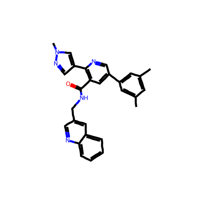 Cc1cc(C)cc(-c2cnc(-c3cnn(C)c3)c(C(=O)NCc3cnc4ccccc4c3)c2)c1